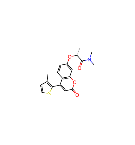 Cc1ccsc1-c1cc(=O)oc2cc(O[C@H](C)C(=O)N(C)C)ccc12